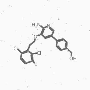 Nc1ncc(-c2ccc(CO)cc2)cc1OCCc1c(Cl)ccc(F)c1Cl